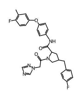 Cc1cc(Oc2ccc(NC(=O)C3CC(Cc4ccc(F)cc4)CN3C(=O)Cn3cncn3)cc2)ccc1F